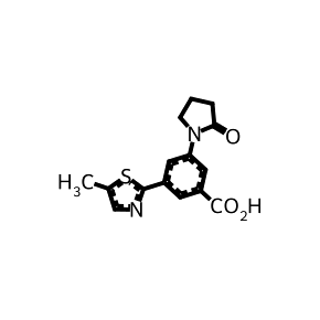 Cc1cnc(-c2cc(C(=O)O)cc(N3CCCC3=O)c2)s1